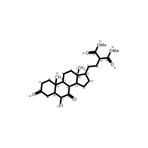 CCC1C(=O)C2C(CC[C@]3(C)C(CCC(C(=O)OC)C(=O)OC)CCC23)C2(C)CCC(=O)CC12